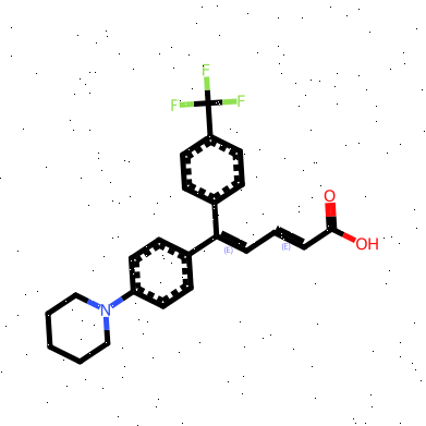 O=C(O)/C=C/C=C(/c1ccc(N2CCCCC2)cc1)c1ccc(C(F)(F)F)cc1